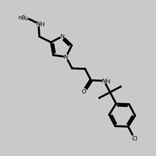 CCCCNCc1cn(CCC(=O)NC(C)(C)c2ccc(Cl)cc2)cn1